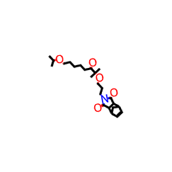 CC(C)OCCCCCC(=O)C(C)(C)OCCCN1C(=O)C2C3C=CC(C3)C2C1=O